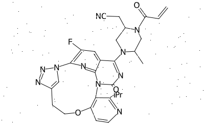 C=CC(=O)N1CC(C)N(c2nc(=O)n3c4nc(c(F)cc24)-n2cc(nn2)CCOc2ccnc(C(C)C)c2-3)CC1CC#N